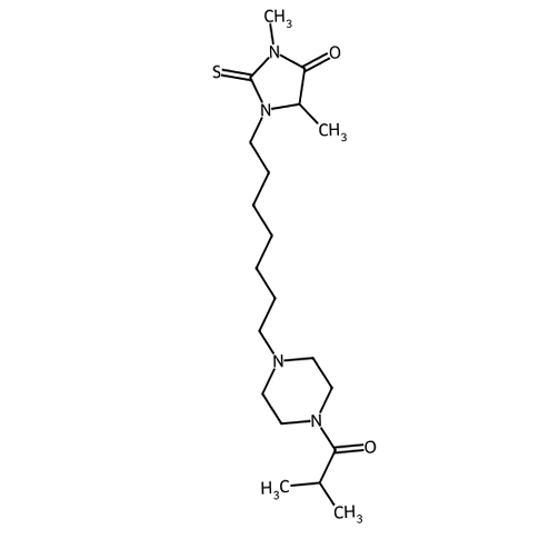 CC(C)C(=O)N1CCN(CCCCCCCN2C(=S)N(C)C(=O)C2C)CC1